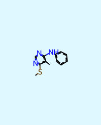 CSc1ncnc(Nc2ccccc2)c1C